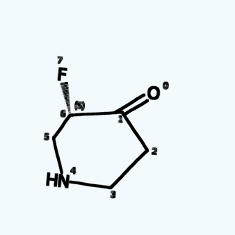 O=C1CCNC[C@@H]1F